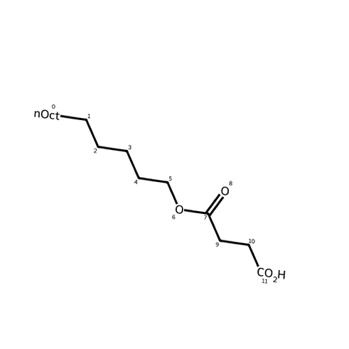 CCCCCCCCCCCCCOC(=O)CCC(=O)O